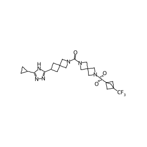 O=C(N1CC2(CC(c3nnc(C4CC4)[nH]3)C2)C1)N1CC2(C1)CN(S(=O)(=O)C13CC(C(F)(F)F)(C1)C3)C2